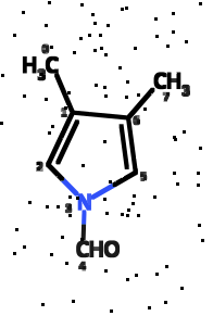 Cc1cn(C=O)cc1C